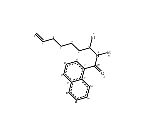 C=CCCCCC(CC)N(CC)C(=O)c1cccc2ccccc12